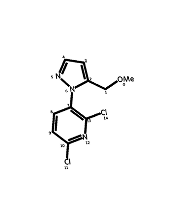 COCc1[c]cnn1-c1ccc(Cl)nc1Cl